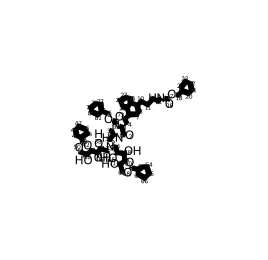 NC(=O)[C@H](CCc1ccc(CCCCNC(=O)OCc2ccccc2)c2ccccc12)N(CCCN(C[C@H](O)[C@@H](O)[C@@H]1OC(c2ccccc2)OC[C@H]1O)C[C@H](O)[C@@H](O)[C@@H]1OC(c2ccccc2)OC[C@H]1O)C(=O)OCc1ccccc1